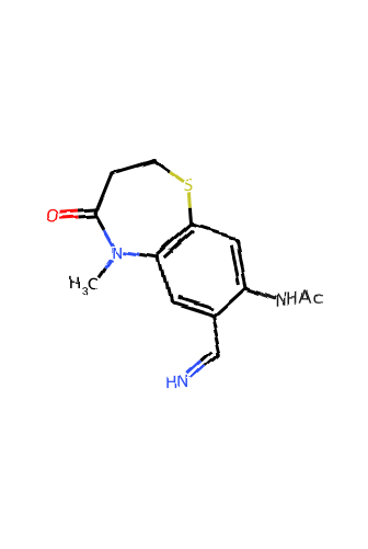 CC(=O)Nc1cc2c(cc1C=N)N(C)C(=O)CCS2